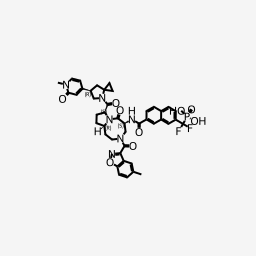 Cc1ccc2onc(C(=O)N3CC[C@H]4CC[C@@H](C(=O)N5C[C@@H](c6ccn(C)c(=O)c6)CC56CC6)N4C(=O)[C@@H](NC(=O)c4ccc5ccc(C(F)(F)P(=O)(O)O)cc5c4)C3)c2c1